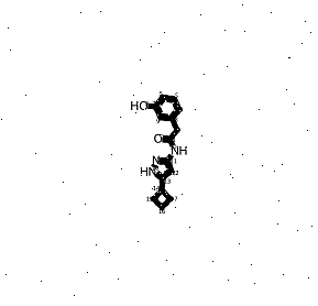 O=C(Cc1cccc(O)c1)Nc1cc(C2CCC2)[nH]n1